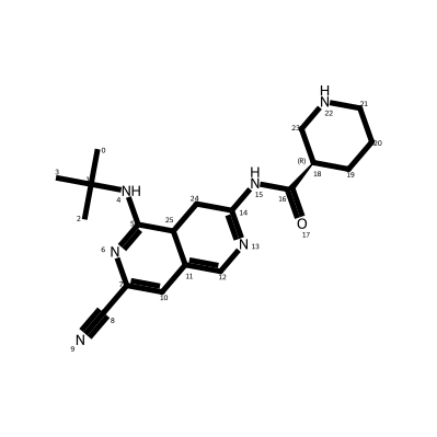 CC(C)(C)NC1=NC(C#N)=CC2=CN=C(NC(=O)[C@@H]3CCCNC3)CC21